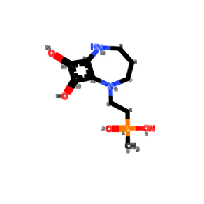 CP(=O)(O)CCN1CCCNc2c1c(=O)c2=O